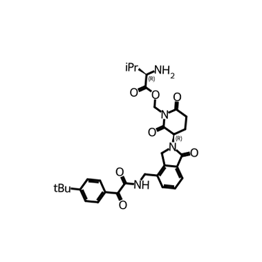 CC(C)[C@@H](N)C(=O)OCN1C(=O)CC[C@@H](N2Cc3c(CNC(=O)C(=O)c4ccc(C(C)(C)C)cc4)cccc3C2=O)C1=O